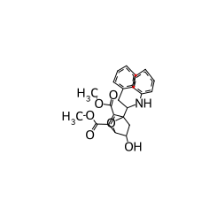 COC(=O)C1=C(C(=O)OC)C2(C(Cc3ccccc3)Nc3ccccc3)CC(O)C1O2